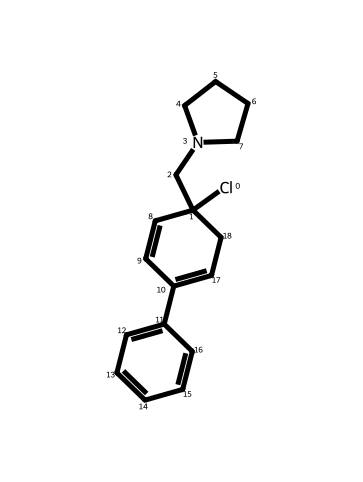 ClC1(CN2CCCC2)C=CC(c2ccccc2)=CC1